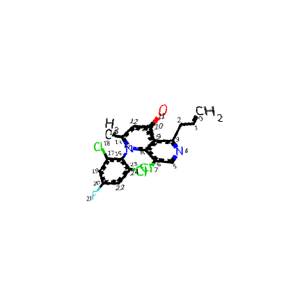 C=CCc1ncc(Cl)c2c1c(=O)cc(C)n2-c1c(Cl)cc(F)cc1Cl